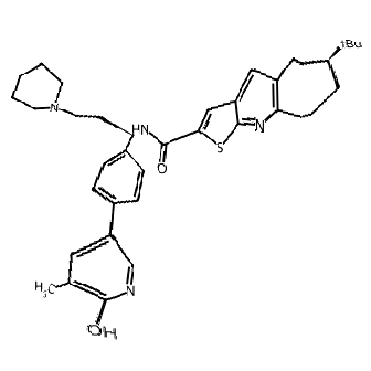 Cc1cc(-c2ccc([C@@H](CCN3CCCCC3)NC(=O)c3cc4cc5c(nc4s3)CC[C@H](C(C)(C)C)C5)cc2)cnc1O